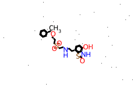 CC(OCCCS(=O)(=O)CCNCCc1ccc(O)c2[nH]c(=O)sc12)c1ccccc1